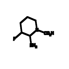 NC1C(F)CCCN1C(=O)O